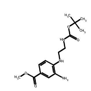 COC(=O)c1ccc(NCCNC(=O)OC(C)(C)C)c(N)c1